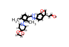 Cc1ccc(CNc2ccc3c(c2)OC[C@H]3CC=O)c(C)c1N1CCC2(CC1)OCCO2